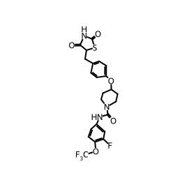 O=C1NC(=O)C(Cc2ccc(OC3CCN(C(=O)Nc4ccc(OC(F)(F)F)c(F)c4)CC3)cc2)S1